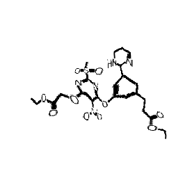 CCOC(=O)CCc1cc(Oc2nc(S(C)(=O)=O)nc(OCC(=O)OCC)c2[N+](=O)[O-])cc(C2N=CCCN2)c1